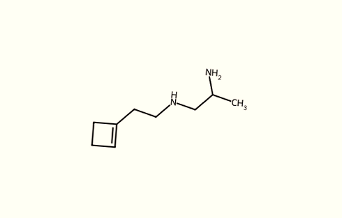 CC(N)CNCCC1=CCC1